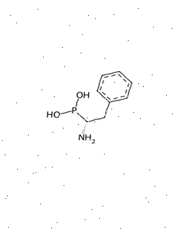 N[C@@H](Cc1ccccc1)P(O)O